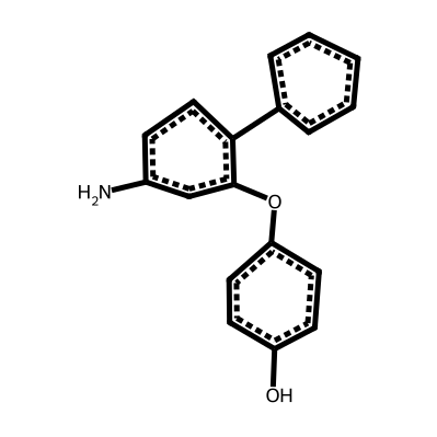 Nc1ccc(-c2ccccc2)c(Oc2ccc(O)cc2)c1